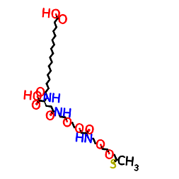 CC(=S)COCCOCCNC(=O)COCCOCCNC(=O)CC[C@H](NC(=O)CCCCCCCCCCCCCCCCC(=O)O)C(=O)O